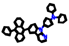 C1=CCCC(N(c2ccccc2)c2ccc(-n3c4ccc(-c5c6ccccc6c(-c6ccccc6)c6ccccc56)cc4c4cccnc43)cc2)=C1